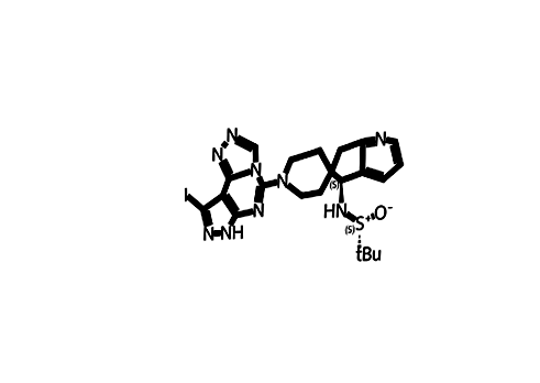 CC(C)(C)[S@@+]([O-])N[C@@H]1c2cccnc2CC12CCN(c1nc3[nH]nc(I)c3c3nncn13)CC2